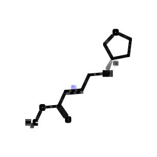 COC(=O)/C=C/CN[C@H]1CCOC1